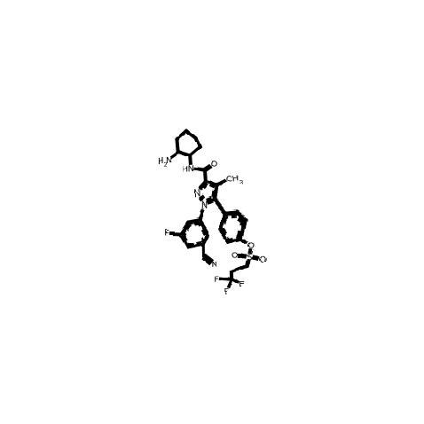 Cc1c(C(=O)NC2CCCCC2N)nn(-c2cc(F)cc(C#N)c2)c1-c1ccc(OS(=O)(=O)CCC(F)(F)F)cc1